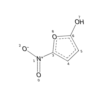 O=[N+]([O-])c1ccc(O)o1